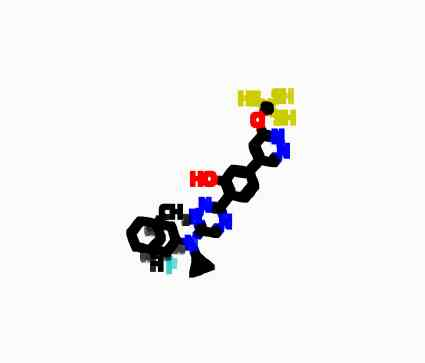 C[C@]12CCC[C@H](C1)[C@H](F)[C@H](N(c1cnc(-c3ccc(-c4cnnc(OC(S)(S)S)c4)cc3O)nn1)C1CC1)C2